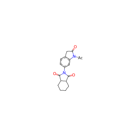 CC(=O)N1C(=O)Cc2ccc(N3C(=O)C4CCCCC4C3=O)cc21